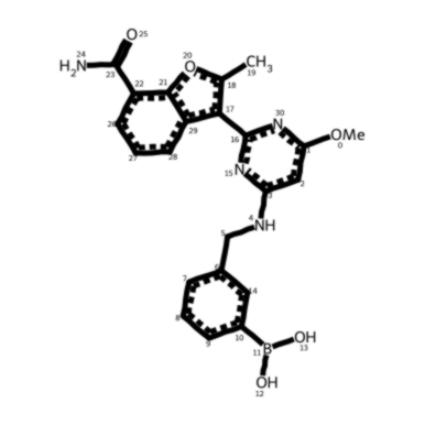 COc1cc(NCc2cccc(B(O)O)c2)nc(-c2c(C)oc3c(C(N)=O)cccc23)n1